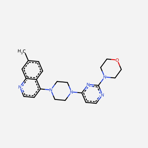 Cc1ccc2c(N3CCN(c4ccnc(N5CCOCC5)n4)CC3)ccnc2c1